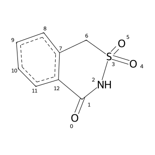 O=C1NS(=O)(=O)Cc2ccccc21